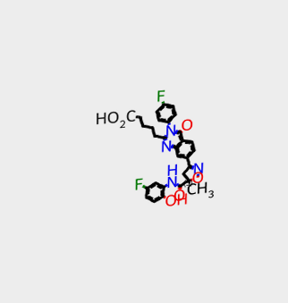 C[C@@]1(C(=O)Nc2cc(F)ccc2O)CC(c2ccc3c(=O)n(-c4ccc(F)cc4)c(CCCCC(=O)O)nc3c2)=NO1